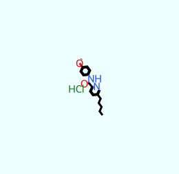 CCCCCc1ccc(C(=O)Nc2ccc(OC)cc2)nc1.Cl